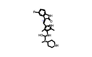 Cc1[nH]c(/C=C2\C(=O)Nc3ccc(F)cc32)c(C)c1NC(O)N(C)C1CCNCC1